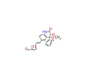 COC1C(=O)Nc2ccc(C=Cc3ccc(C=O)o3)cc2C1(O)c1ccccc1